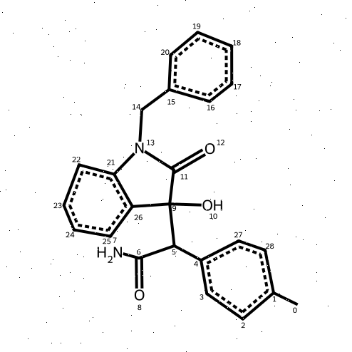 Cc1ccc(C(C(N)=O)C2(O)C(=O)N(Cc3ccccc3)c3ccccc32)cc1